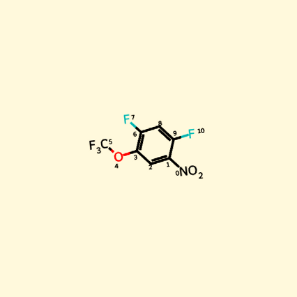 O=[N+]([O-])c1cc(OC(F)(F)F)c(F)cc1F